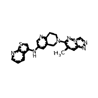 Cc1cc2nncn2nc1N1CCc2ncc(Nc3csc4ncccc34)cc2C1